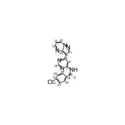 C[C@@H](Nc1cc(-c2cnn3cccnc23)ncn1)c1ccc(Cl)cc1